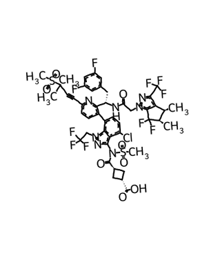 C[C@@H]1c2c(C(F)(F)F)nn(CC(=O)N[C@@H](Cc3cc(F)cc(F)c3)c3nc(C#CC(C)(C)S(C)(=O)=O)ccc3-c3ccc(Cl)c4c(N(C(=O)[C@H]5C[C@H](C(=O)O)C5)S(C)(=O)=O)nn(CC(F)(F)F)c34)c2C(F)(F)[C@@H]1C